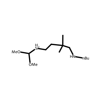 CCCCNCC(C)(C)CC[SiH2]C(OC)OC